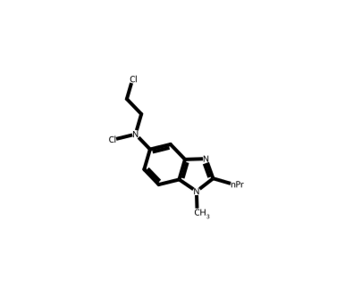 CCCc1nc2cc(N(Cl)CCCl)ccc2n1C